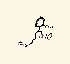 CCCCCCCCCCCCCC(CC=O)c1ccccc1O